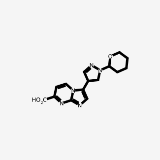 O=C(O)c1ccn2c(C3C=NN(C4CCCCO4)C3)cnc2n1